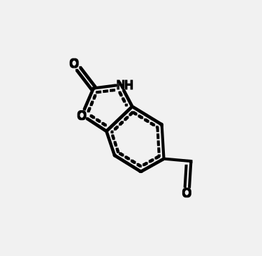 O=Cc1ccc2oc(=O)[nH]c2c1